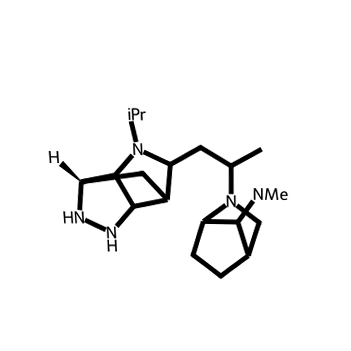 CNC1C2CCC1N(C(C)CC1C3C[C@@H]4NNC3C4N1C(C)C)C2